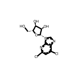 OC[C@H]1O[C@@H](n2cnc3c(Cl)cc(Cl)nc32)[C@H](O)[C@@H]1O